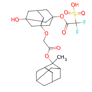 CC1(OC(=O)COC23CC4CC(O)(C2)CC(OC(=O)C(F)(F)S(=O)(=O)O)(C4)C3)C2CC3CC(C2)CC1C3